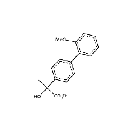 CCOC(=O)C(C)(O)c1ccc(-c2ccccc2OC)cc1